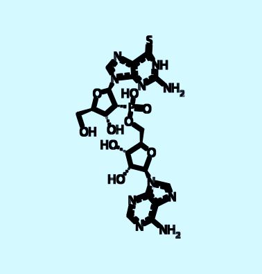 Nc1nc2c(ncn2[C@@H]2O[C@H](CO)[C@@H](O)[C@H]2P(=O)(O)OC[C@H]2O[C@@H](n3cnc4c(N)ncnc43)[C@H](O)[C@@H]2O)c(=S)[nH]1